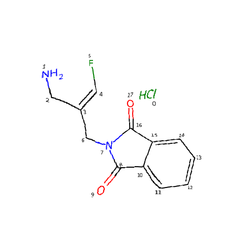 Cl.NCC(=CF)CN1C(=O)c2ccccc2C1=O